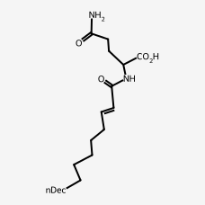 CCCCCCCCCCCCCCC/C=C/C(=O)NC(CCC(N)=O)C(=O)O